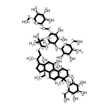 CC[C@@]12CCC([C@H](C)CC[C@@H](O[C@@H]3O[C@H](CO[C@@H]4O[C@H](CO)[C@@H](O)[C@H](O)[C@H]4O)[C@@H](O)[C@H](O)[C@H]3O[C@@H]3O[C@H](CO)[C@@H](C)[C@H](O)[C@H]3O)C(C)(C)O)[C@@]1(C)C[C@@H](O)[C@@]1(C)C3CC[C@H](O[C@@H]4O[C@H](CO)[C@@H](O)[C@H](O)[C@H]4O)C(C)(C)C3=CCC12